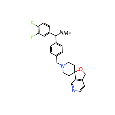 CNC(c1ccc(CN2CCC3(CC2)OCc2ccncc23)cc1)c1ccc(F)c(F)c1